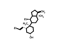 C=C1CCC2[C@H](CC)C([C@@]3(C)CC[C@H](O)C[C@@H]3/C=C/CC)CC[C@]12C